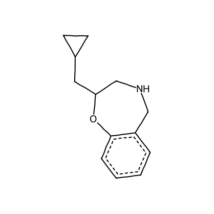 c1ccc2c(c1)CNCC(CC1CC1)O2